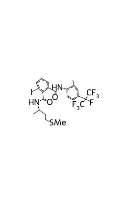 CSCCC(C)NC(=O)c1c(I)cccc1C(=O)Nc1ccc(C(F)(C(F)(F)F)C(F)(F)F)cc1C